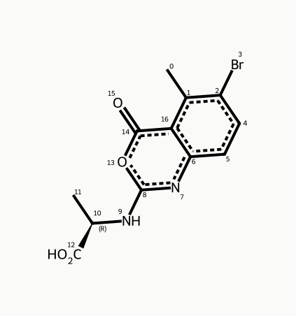 Cc1c(Br)ccc2nc(N[C@H](C)C(=O)O)oc(=O)c12